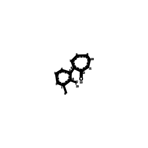 Cc1cccc(-c2cccccc2=O)c1F